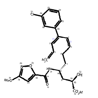 C=C/C=C(\C=C/CC[C@H](C[C@@H](O)C(=O)O)NC(=O)c1cc(OC)no1)c1cccc(Cl)c1